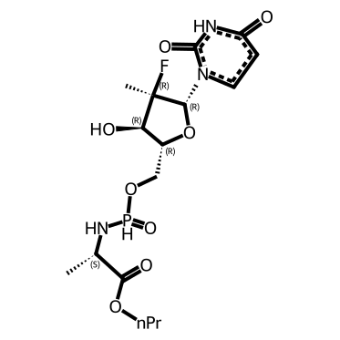 CCCOC(=O)[C@H](C)N[PH](=O)OC[C@H]1O[C@@H](n2ccc(=O)[nH]c2=O)[C@](C)(F)[C@@H]1O